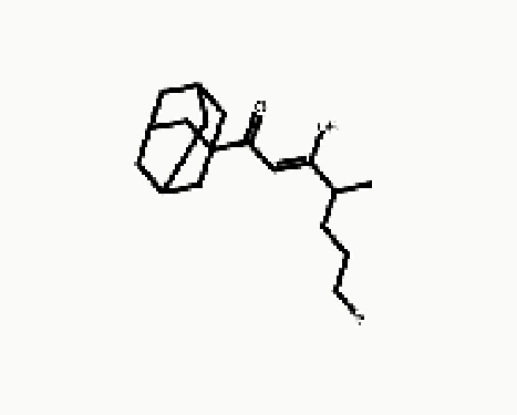 CC(CCCF)/C(O)=C/C(=O)C12CC3CC(CC(C3)C1)C2